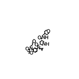 COCCCN1C(=O)C(C)(C)Oc2ccc(N(C(=O)[C@H]3CNC[C@@H](C(=O)NCC4CCOCC4)C3)C3CC3)cc21